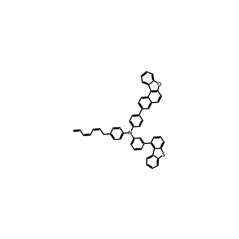 C=C/C=C\C=C/Cc1ccc(N(c2ccc(-c3ccc4c(ccc5oc6ccccc6c54)c3)cc2)c2cccc(-c3cccc4sc5ccccc5c34)c2)cc1